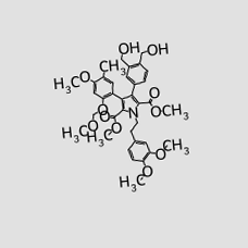 COCOc1cc(OC)c(C)cc1-c1c(-c2ccc(CO)c(CO)c2)c(C(=O)OC)n(CCc2ccc(OC)c(OC)c2)c1C(=O)OC